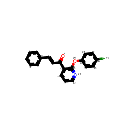 O=C(C=Cc1ccccc1)c1cccnc1Oc1ccc(F)cc1